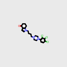 O=C1CCCc2c1ccn2CCCCN1CCN(c2ccc(Cl)c(Cl)c2Cl)CC1